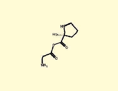 NCC(=O)OC(=O)[C@]1(O)CCCN1